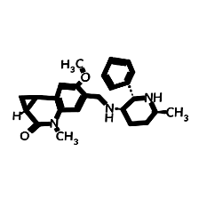 COc1cc2c(cc1CN[C@H]1CC[C@H](C)N[C@H]1c1ccccc1)N(C)C(=O)[C@H]1CC21